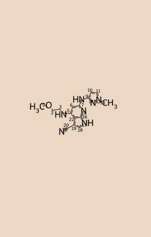 COCCNc1cc(Nc2ccn(C)n2)nc2[nH]cc(C#N)c12